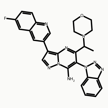 CC(c1nc2c(-c3cnc4ccc(F)cc4c3)cnn2c(N)c1-n1nnc2ccccc21)N1CCOCC1